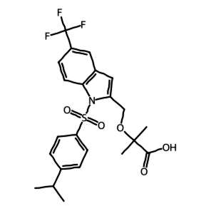 CC(C)c1ccc(S(=O)(=O)n2c(COC(C)(C)C(=O)O)cc3cc(C(F)(F)F)ccc32)cc1